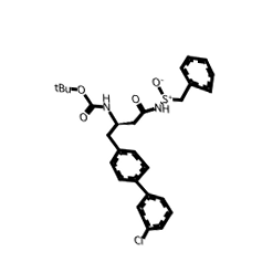 CC(C)(C)OC(=O)N[C@@H](CC(=O)N[S+]([O-])Cc1ccccc1)Cc1ccc(-c2cccc(Cl)c2)cc1